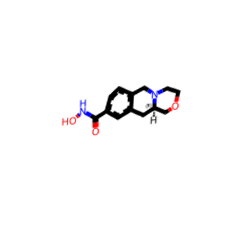 O=C(NO)c1ccc2c(c1)C[C@@H]1COCCN1C2